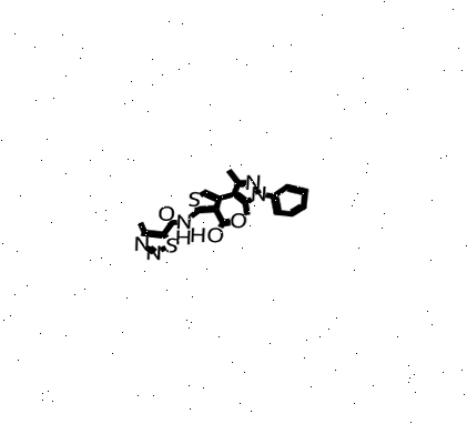 Cc1nnsc1C(=O)Nc1scc(-c2c(C)nn(-c3ccccc3)c2C)c1C(=O)O